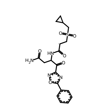 NC(=O)CC(NC(=O)[CH]CS(=O)(=O)CC1CC1)C(=O)c1noc(-c2ccccc2)n1